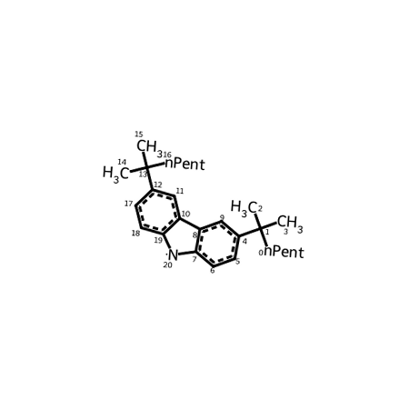 CCCCCC(C)(C)c1ccc2c(c1)-c1cc(C(C)(C)CCCCC)ccc1[N]2